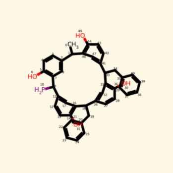 CC1c2ccc(O)c(c2)C(P)c2ccc(O)c(c2)C(Cc2ccccc2)c2ccc(O)c(c2)C(Cc2ccccc2)c2ccc(O)c1c2